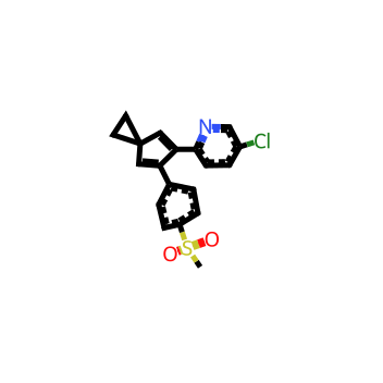 CS(=O)(=O)c1ccc(C2=CC3(C=C2c2ccc(Cl)cn2)CC3)cc1